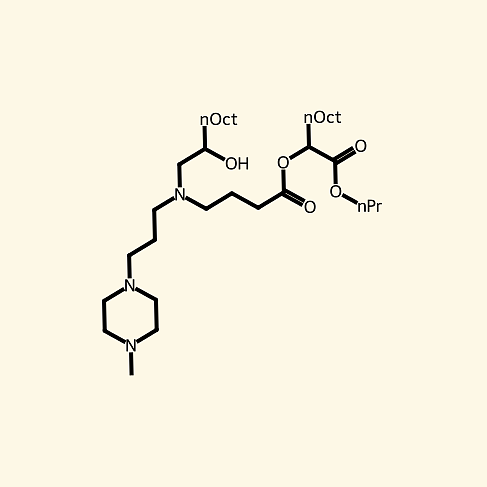 CCCCCCCCC(O)CN(CCCC(=O)OC(CCCCCCCC)C(=O)OCCC)CCCN1CCN(C)CC1